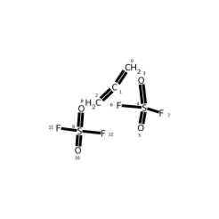 C=C=C.O=S(=O)(F)F.O=S(=O)(F)F